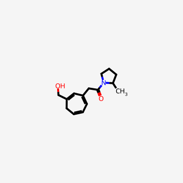 CC1CCCN1C(=O)CC1=CC=CCC(CO)=C1